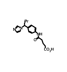 CC(C)C(c1ccc(NC(=O)CCCC(=O)O)cc1)n1ccnc1